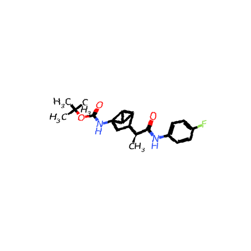 C[C@H](C(=O)Nc1ccc(F)cc1)C1CC2(NC(=O)OC(C)(C)C)C3C1C32